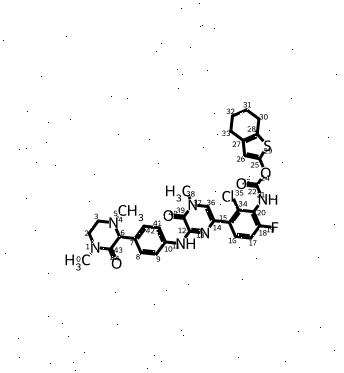 CN1CCN(C)C(c2ccc(Nc3nc(-c4ccc(F)c(NC(=O)Oc5cc6c(s5)CCCC6)c4Cl)cn(C)c3=O)cc2)C1=O